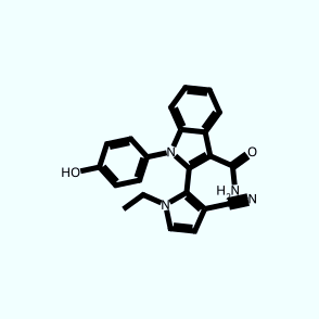 CCn1ccc(C#N)c1-c1c(C(N)=O)c2ccccc2n1-c1ccc(O)cc1